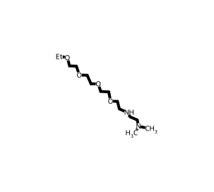 CCOCCOCCOCCOCCNCCN(C)C